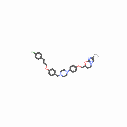 O=[N+]([O-])c1cn2c(n1)OC(COc1ccc(N3CCN(Cc4ccc(OCCCc5ccc(Cl)cc5)cc4)CC3)cc1)CC2